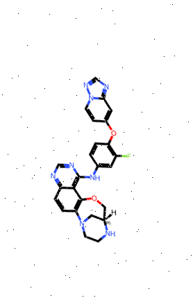 Fc1cc(Nc2ncnc3ccc4c(c23)OC[C@H]2CN4CCN2)ccc1Oc1ccn2ncnc2c1